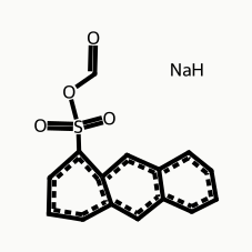 O=COS(=O)(=O)c1cccc2cc3ccccc3cc12.[NaH]